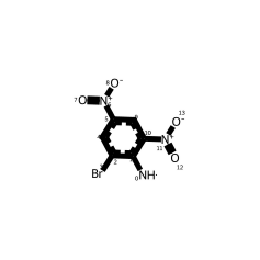 [NH]c1c(Br)cc([N+](=O)[O-])cc1[N+](=O)[O-]